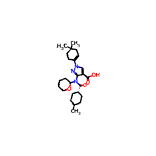 CC1(C)CC=C(n2cc(C(=O)O)c(N(C(=O)[C@H]3CC[C@H](C)CC3)C3CCCCO3)n2)CC1